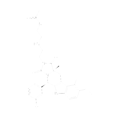 COc1ccc2[nH]c3c(c2c1F)C[C@@]1(C)C(=O)N(CCNCCNC(C)=O)C(=O)N1[C@@H]3c1cccc(O)c1